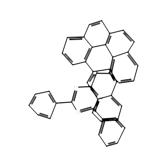 c1ccc(-c2nc(Cc3cccc4ccc5ccc6cccc(-c7ccc8ccccc8c7)c6c5c34)nc(-c3ccccc3)n2)cc1